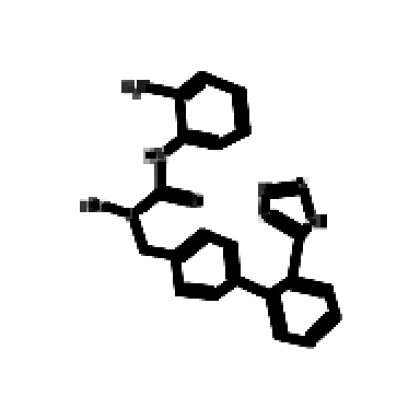 CCCCN(Cc1ccc(-c2ccccc2-c2nnn[nH]2)cc1)C(=O)Nc1ccccc1[N+](=O)[O-]